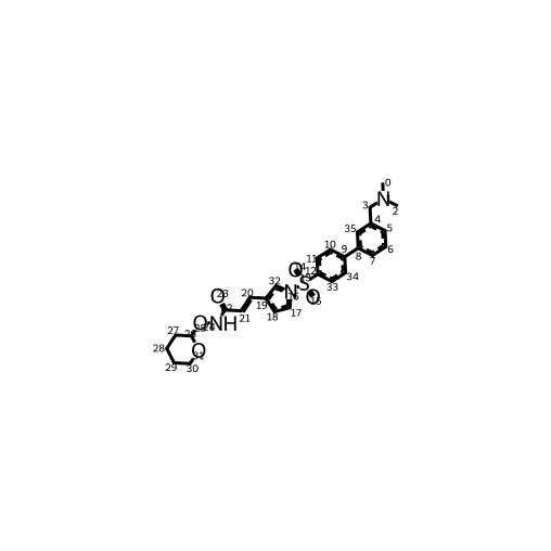 CN(C)Cc1cccc(-c2ccc(S(=O)(=O)n3ccc(/C=C/C(=O)NOC4CCCCO4)c3)cc2)c1